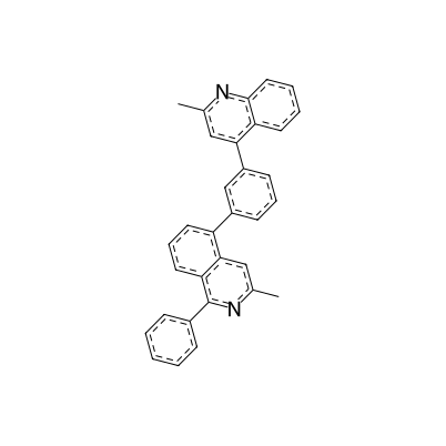 Cc1cc2c(-c3cccc(-c4cc(C)nc5ccccc45)c3)cccc2c(-c2ccccc2)n1